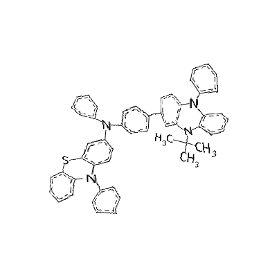 CC(C)(C)N1c2ccccc2N(c2ccccc2)c2ccc(-c3ccc(N(c4ccccc4)c4ccc5c(c4)Sc4ccccc4N5c4ccccc4)cc3)cc21